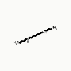 NCCCCNCCCCCCCNCCCCN